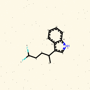 CC([CH]CC(F)F)c1c[nH]c2ccccc12